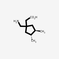 C[C@@H]1CC(CN)(CC(=O)O)C[C@H]1C